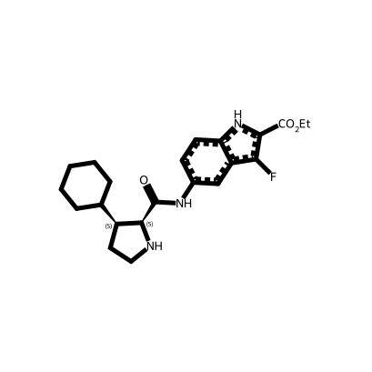 CCOC(=O)c1[nH]c2ccc(NC(=O)[C@H]3NCC[C@H]3C3CCCCC3)cc2c1F